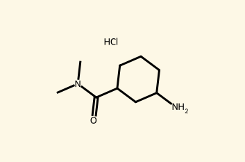 CN(C)C(=O)C1CCCC(N)C1.Cl